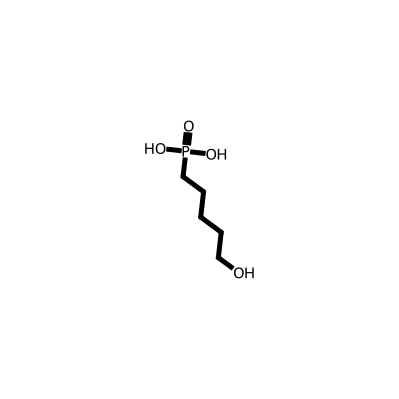 O=P(O)(O)CCCCCO